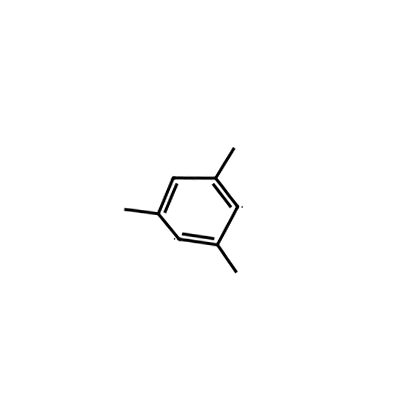 Cc1[c]c(C)cc(C)[c]1